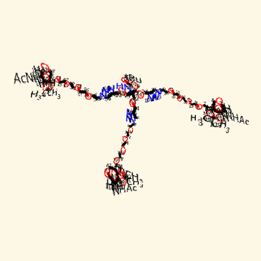 CC(=O)N[C@H]1[C@H]2OC[C@](CCOCCOCCOCCOCCn3cc(COCC(COCc4cn(CCOCCOCCOCCOC[C@@]56CO[C@@H](O5)[C@H](NC(C)=O)[C@H]5OC(C)(C)O[C@H]56)nn4)(COCc4cn(CCOCCOCCOCCOC[C@@]56CO[C@@H](O5)[C@H](NC(C)=O)[C@H]5OC(C)(C)O[C@H]56)nn4)NC(=O)OC(C)(C)C)nn3)(O2)[C@@H]2OC(C)(C)O[C@H]12